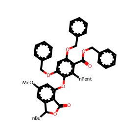 CCCCCc1c(Oc2cc(OC)cc3c2C(=O)OC3CCCC)c(OCc2ccccc2)cc(OCc2ccccc2)c1C(=O)OCc1ccccc1